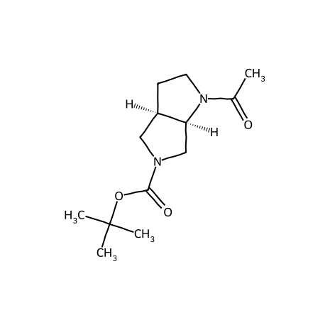 CC(=O)N1CC[C@@H]2CN(C(=O)OC(C)(C)C)C[C@@H]21